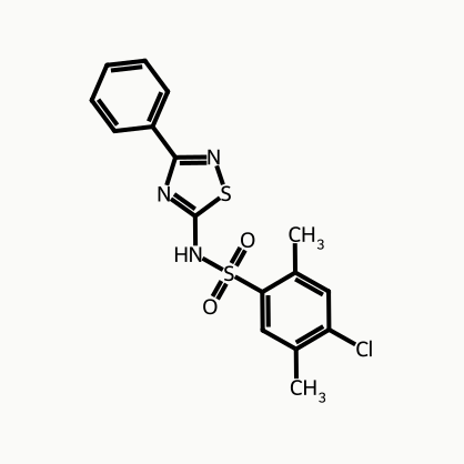 Cc1cc(S(=O)(=O)Nc2nc(-c3ccccc3)ns2)c(C)cc1Cl